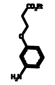 CCOC(=O)CCOc1cc[c]c(N)c1